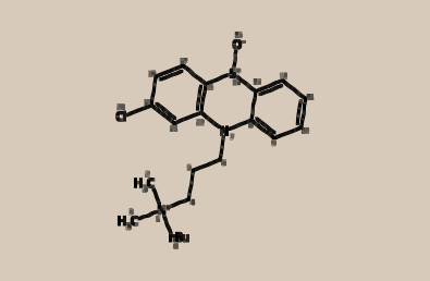 CCCC[N+](C)(C)CCCN1c2ccccc2[S+]([O-])c2ccc(Cl)cc21